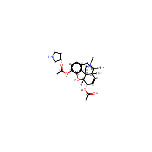 C1CCNC1.CC(=O)Oc1ccc2c3c1O[C@H]1[C@@H](OC(C)=O)C=C[C@H]4[C@@H](C2)N(C)CC[C@@]341